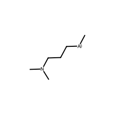 [CH3][Al][CH2]CCN(C)C